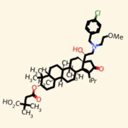 COCCN(Cc1ccc(Cl)cc1)C[C@@H](O)[C@@]12CC[C@]3(C)[C@H](CC[C@@H]4[C@@]5(C)CC[C@H](OC(=O)CC(C)(C)C(=O)O)C(C)(C)[C@@H]5CC[C@]43C)C1=C(C(C)C)C(=O)C2